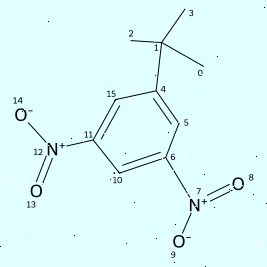 CC(C)(C)c1cc([N+](=O)[O-])[c]c([N+](=O)[O-])c1